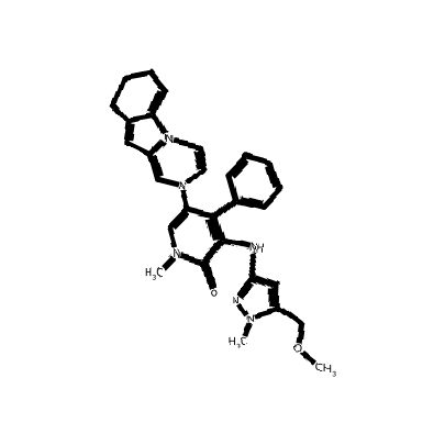 COCc1cc(Nc2c(-c3ccccc3)c(N3C=Cn4c(cc5c4=CCCC5)=C3)cn(C)c2=O)nn1C